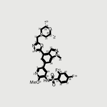 COc1ncc(-c2cc(-c3nnc(CN4C[C@@H](C)O[C@@H](C)C4)o3)c3cnn(C)c3c2)cc1NS(=O)(=O)c1ccc(F)cc1F